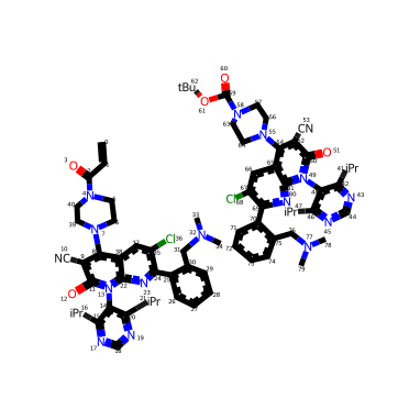 C=CC(=O)N1CCN(c2c(C#N)c(=O)n(-c3c(C(C)C)ncnc3C(C)C)c3nc(-c4ccccc4CN(C)C)c(Cl)cc23)CC1.CC(C)c1ncnc(C(C)C)c1-n1c(=O)c(C#N)c(N2CCN(C(=O)OC(C)(C)C)CC2)c2cc(Cl)c(-c3ccccc3CN(C)C)nc21